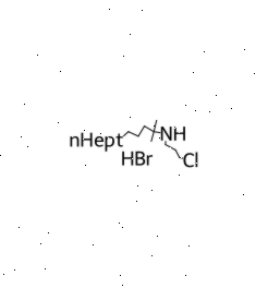 Br.CCCCCCCCCCC(C)(C)NCCCCl